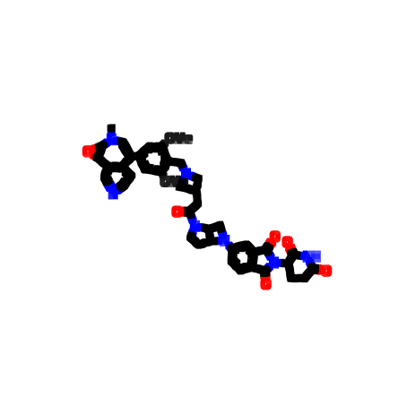 COc1cc(C2=CN(C)C3OC3c3cnccc32)cc(OC)c1CN1CC(CC(=O)N2CCC3C2CN3c2ccc3c(c2)C(=O)N(C2CCC(=O)NC2=O)C3=O)C1